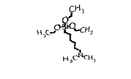 CCO[Si](CCCCCCN(C)C)(OCC)OCC